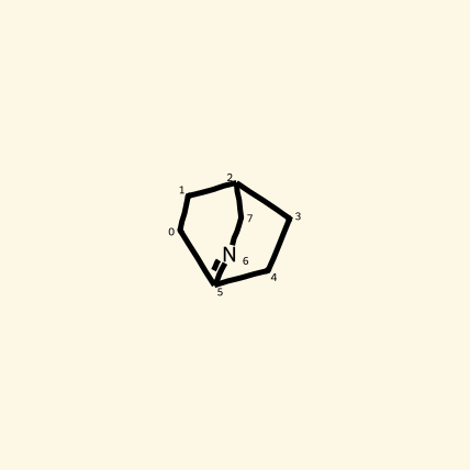 C1CC2CCC1=NC2